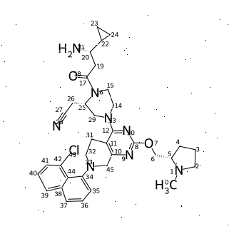 CN1CCC[C@H]1COc1nc2c(c(N3CCN(C(=O)C[C@H](N)C4CC4)[C@@H](CC#N)C3)n1)CCN(c1cccc3cccc(Cl)c13)C2